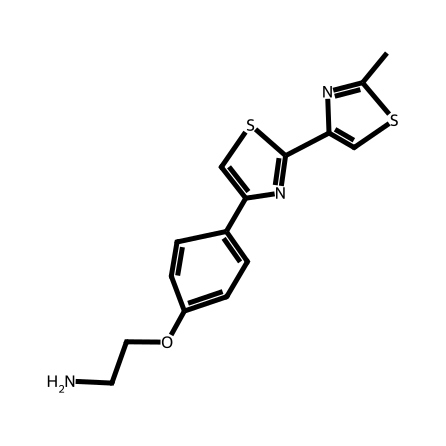 Cc1nc(-c2nc(-c3ccc(OCCN)cc3)cs2)cs1